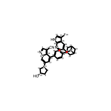 N#Cc1cnn2cc(N3CC[C@H](O)C3)cc(-c3ccc(N4CC5CC(C4)N5Cc4cnc5[nH]cc(F)c5c4)nc3)c12